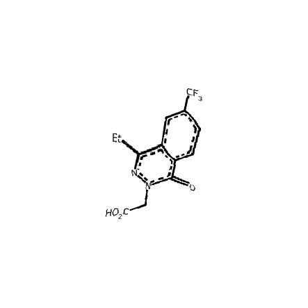 CCc1nn(CC(=O)O)c(=O)c2ccc(C(F)(F)F)cc12